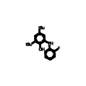 CC(C)(C)c1cc(Pc2ccccc2F)c(O)c(C(C)(C)C)c1